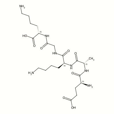 C[C@H](NC(=O)[C@@H](N)CCC(=O)O)C(=O)N[C@@H](CCCCN)C(=O)NCC(=O)N[C@@H](CCCCN)C(=O)O